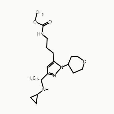 COC(=O)NCCCc1cc([C@@H](C)NC2CC2)nn1C1CCOCC1